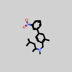 CC1=C(CN(C)C(C)[CH]C(C)C)C=CC(c2cccc([N+](=O)[O-])c2)C1